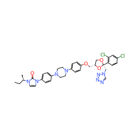 CC[C@@H](C)n1ccn(-c2ccc(N3CCN(c4ccc(OC[C@@H]5CO[C@@](Cn6cnnn6)(c6ccc(Cl)cc6Cl)O5)cc4)CC3)cc2)c1=O